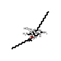 CCCCCCCCCCCCCC(=O)NC(CCNC(=N)N)[C@@](NC(=O)CCCCCCCCCCCCC)(C(=O)O)N(C(=O)CN)C(=O)OC(C)C.Cl.Cl